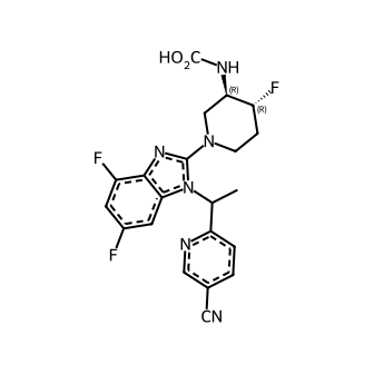 CC(c1ccc(C#N)cn1)n1c(N2CC[C@@H](F)[C@H](NC(=O)O)C2)nc2c(F)cc(F)cc21